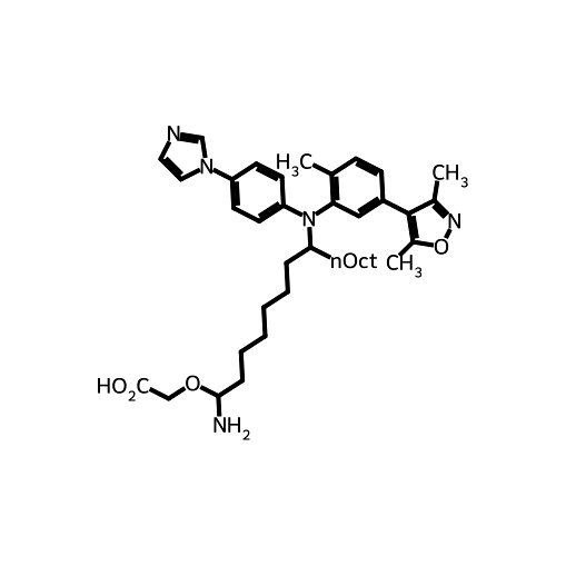 CCCCCCCCC(CCCCCCC(N)OCC(=O)O)N(c1ccc(-n2ccnc2)cc1)c1cc(-c2c(C)noc2C)ccc1C